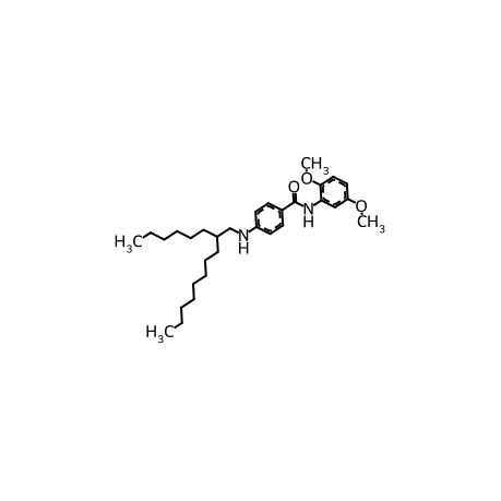 CCCCCCCCC(CCCCCC)CNc1ccc(C(=O)Nc2cc(OC)ccc2OC)cc1